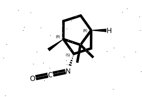 CC1(C)[C@@H]2CC[C@@]1(C)[C@@H](N=C=O)C2